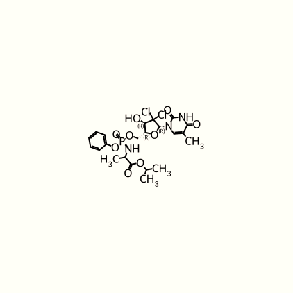 Cc1cn([C@@H]2O[C@H](COP(=O)(NC(C)C(=O)OC(C)C)Oc3ccccc3)[C@@H](O)C2(Cl)Cl)c(=O)[nH]c1=O